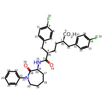 O=C(O)[C@H](CC[C@H](Cc1ccc(F)cc1)C(=O)N[C@H]1CCCCN(c2ccccc2)C1=O)Cc1ccc(F)cc1